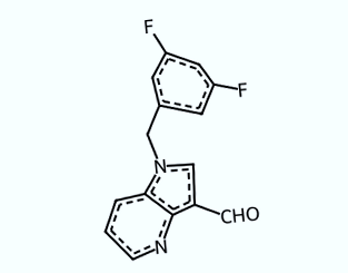 O=Cc1cn(Cc2cc(F)cc(F)c2)c2cccnc12